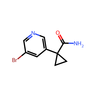 NC(=O)C1(c2cncc(Br)c2)CC1